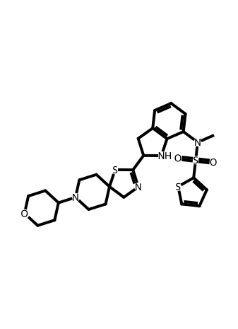 CN(c1cccc2c1NC(C1=NCC3(CCN(C4CCOCC4)CC3)S1)C2)S(=O)(=O)c1cccs1